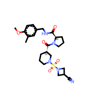 COc1ccc(CNC(=O)[C@H]2CCCN2C(=O)[C@H]2CCCN(S(=O)(=O)N3CC(C#N)C3)C2)cc1C